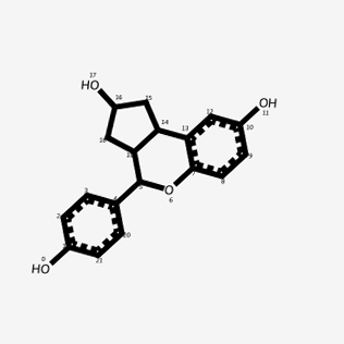 Oc1ccc(C2Oc3ccc(O)cc3C3CC(O)CC32)cc1